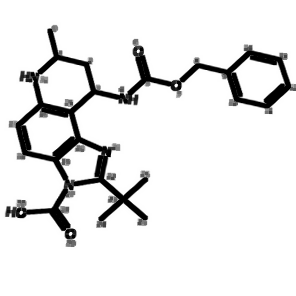 CC1CC(NC(=O)OCc2ccccc2)c2c(ccc3c2nc(C(C)(C)C)n3C(=O)O)N1